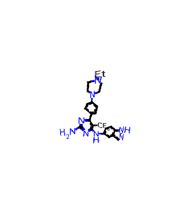 CCN1CCN(c2ccc(-c3nc(N)nc(Nc4ccc5[nH]ncc5c4)c3C(F)(F)F)cc2)CC1